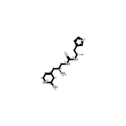 C[C@@H](Cc1ccsc1)NC(=O)NC[C@@H](N)CC1=CCNC(O)C1